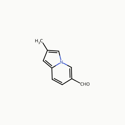 Cc1cc2ccc(C=O)cn2c1